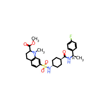 COC(=O)C1CCc2ccc(S(=O)(=O)N[C@H]3CC[C@H](C(=O)N[C@H](C)c4ccc(F)cc4)CC3)cc2N1C